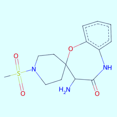 CS(=O)(=O)N1CCC2(CC1)Oc1ccccc1NC(=O)C2N